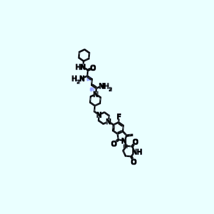 C=C1c2cc(F)c(N3CCN(CC4CCN(/C(N)=C/C=C(\N)C(=O)NC5CCCCC5)CC4)CC3)cc2C(=O)N1[C@@H]1CCC(=O)NC1=O